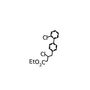 CCOC(=O)CC(Cl)Cc1ccc(-c2ccccc2Cl)cc1